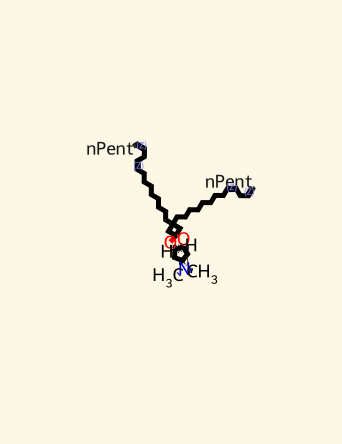 CCCCC/C=C\C/C=C\CCCCCCCCC1(CCCCCCCC/C=C\C/C=C\CCCCC)CC2(C1)O[C@H]1C[C@@H](N(C)C)C[C@H]1O2